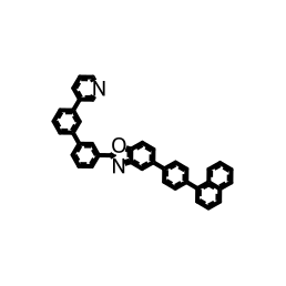 c1cncc(-c2cccc(-c3cccc(-c4nc5cc(-c6ccc(-c7cccc8ccccc78)cc6)ccc5o4)c3)c2)c1